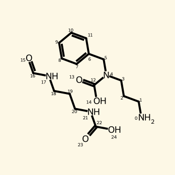 NCCCN(Cc1ccccc1)C(=O)O.O=CNCCCNC(=O)O